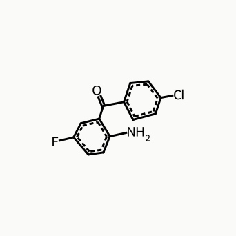 Nc1ccc(F)cc1C(=O)c1ccc(Cl)cc1